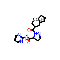 O=C(O)CC(CC1CCCC1)C(=O)N1N=CCC1C(=O)Nc1ncccn1